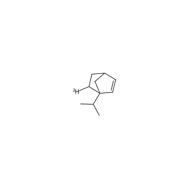 [2H]C1CC2C=CC1(C(C)C)C2